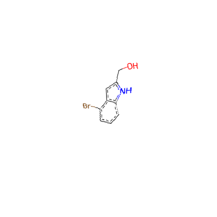 OCc1cc2c(Br)cccc2[nH]1